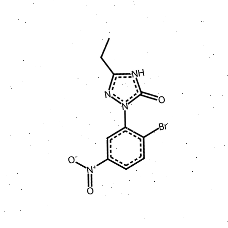 CCc1nn(-c2cc([N+](=O)[O-])ccc2Br)c(=O)[nH]1